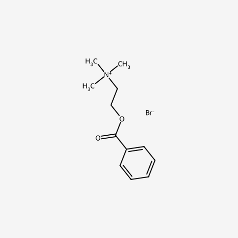 C[N+](C)(C)CCOC(=O)c1ccccc1.[Br-]